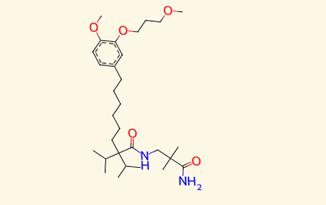 COCCCOc1cc(CCCCCCC(C(=O)NCC(C)(C)C(N)=O)(C(C)C)C(C)C)ccc1OC